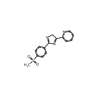 CS(=O)(=O)c1ccc(C2=NCC(c3ccccn3)=N2)cc1